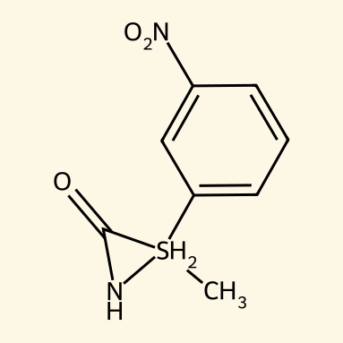 C[SH2]1(c2cccc([N+](=O)[O-])c2)NC1=O